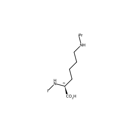 CC(C)NCCCC[C@H](NI)C(=O)O